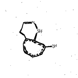 Oc1cccc2c1[SH]N=CC2